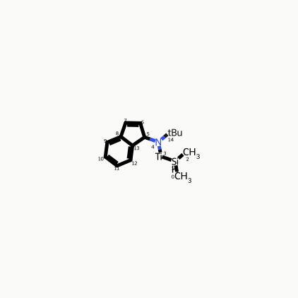 C[SiH](C)[Ti][N](C1C=Cc2ccccc21)C(C)(C)C